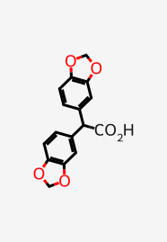 O=C(O)C(c1ccc2c(c1)OCO2)c1ccc2c(c1)OCO2